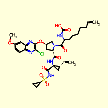 C=CCCCCCC(NC(=O)O)C(=O)N1C[C@H](Oc2nc3cc(OC)ccc3nc2Cl)C[C@H]1C(=O)N[C@]1(C(=O)NS(=O)(=O)C2CC2)C[C@H]1C=C